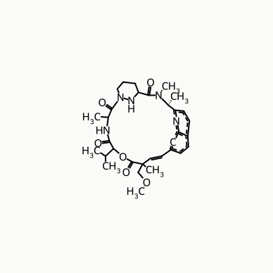 COCC1(C)/C=C/c2ccc3ccc(nc3c2)[C@@H](C)N(C)C(=O)C2CCCN(N2)C(=O)C(C)NC(=O)C(C(C)C)OC1=O